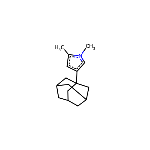 Cc1cc(C23CC4CC(CC(C4)C2)C3)cn1C